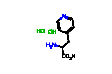 Cl.Cl.N[C@H](Cc1ccncc1)C(=O)O